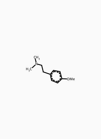 COc1ccc([CH]CN(C)C)cc1